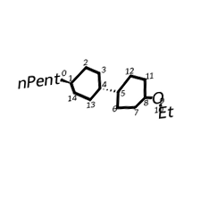 CCCCC[C@H]1CC[C@H](C2CCC(OCC)CC2)CC1